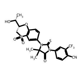 C[C@@H](O)[C@H]1CS(=O)(=O)c2cc(N3C(=S)N(c4ccc(C#N)c(C(F)(F)F)c4)C(=O)C3(C)C)ccc2O1